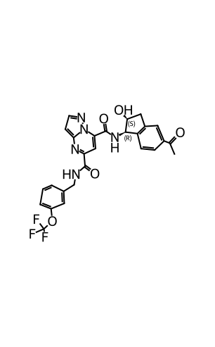 CC(=O)c1ccc2c(c1)C[C@H](O)[C@@H]2NC(=O)c1cc(C(=O)NCc2cccc(OC(F)(F)F)c2)nc2ccnn12